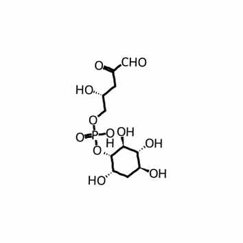 O=CC(=O)C[C@@H](O)COP(=O)(O)O[C@@H]1[C@@H](O)[C@H](O)[C@@H](O)C[C@@H]1O